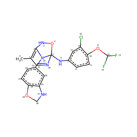 CC1=C2NOC(Nc3ccc(OC(F)F)c(Cl)c3)(N=C1)N2c1ccc2c(c1)NCO2